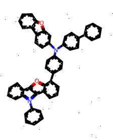 c1ccc(-c2ccc(N(c3ccc(-c4cccc5c4oc4c6ccccc6n(-c6ccccc6)c54)cc3)c3ccc4c(c3)oc3ccccc34)cc2)cc1